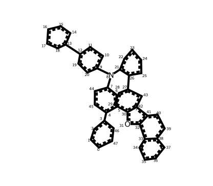 c1ccc(-c2ccc(N(c3ccc(-c4ccccc4)cc3)c3ccccc3-c3ccc4oc5c6ccccc6ccc5c4c3)cc2)cc1